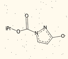 CC(C)OC(=O)n1ccc([O])n1